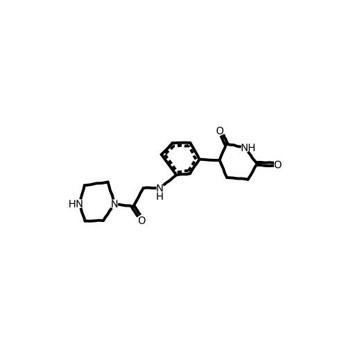 O=C1CCC(c2cccc(NCC(=O)N3CCNCC3)c2)C(=O)N1